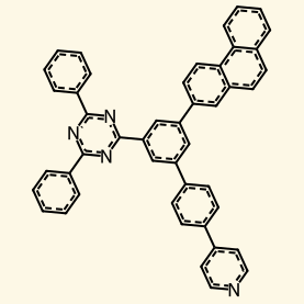 c1ccc(-c2nc(-c3ccccc3)nc(-c3cc(-c4ccc(-c5ccncc5)cc4)cc(-c4ccc5c(ccc6ccccc65)c4)c3)n2)cc1